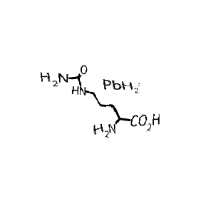 NC(=O)NCCCC(N)C(=O)O.[PbH2]